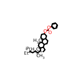 CC[C@H](CC[C@@H](C)[C@H]1CCC2C3CCC4CC(OC(=O)Oc5ccccc5)CC[C@]4(C)C3CC[C@@]21C)C(C)C